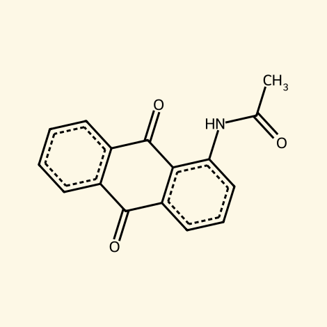 CC(=O)Nc1cccc2c1C(=O)c1ccccc1C2=O